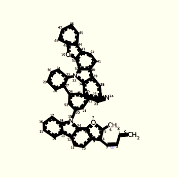 C=C/C=C\c1c(C)oc2c1ccc1c3ccccc3n(-c3cc(C#N)cc(-c4ccccc4-n4c5ccccc5c5ccc6c7ccccc7oc6c54)c3)c12